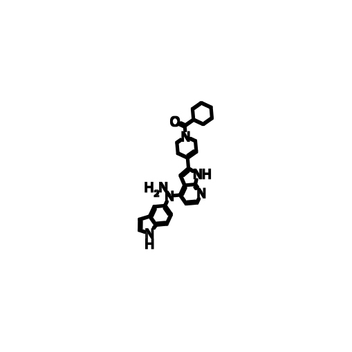 NN(c1ccc2[nH]ccc2c1)c1ccnc2[nH]c(C3=CCN(C(=O)C4CCCCC4)CC3)cc12